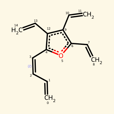 C=C/C=C\c1oc(C=C)c(C=C)c1C=C